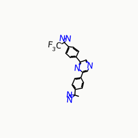 CC1(c2ccc(-c3cncc(-c4ccc(C5(C(F)(F)F)N=N5)cc4)n3)cc2)N=N1